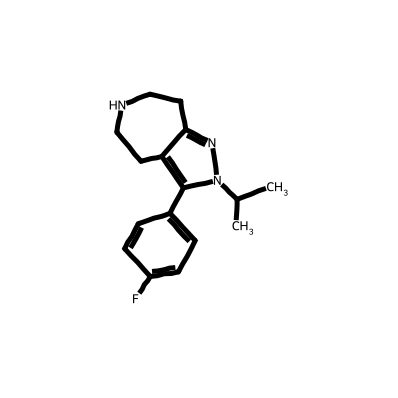 CC(C)n1nc2c(c1-c1ccc(F)cc1)CCNCC2